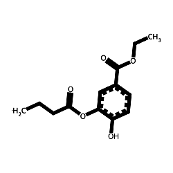 [CH2]CCC(=O)Oc1cc(C(=O)OCC)ccc1O